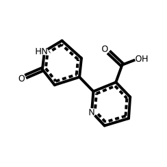 O=C(O)c1cccnc1-c1cc[nH]c(=O)c1